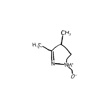 CC1=N[NH+]([O-])CC1C